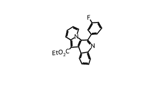 CCOC(=O)c1c2c3ccccc3nc(-c3cccc(F)c3)c2n2ccccc12